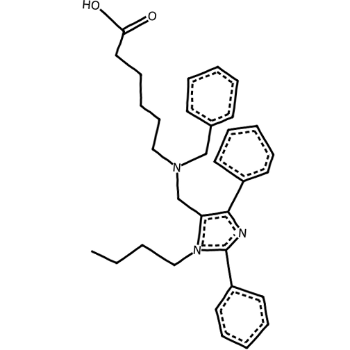 CCCCn1c(-c2ccccc2)nc(-c2ccccc2)c1CN(CCCCCC(=O)O)Cc1ccccc1